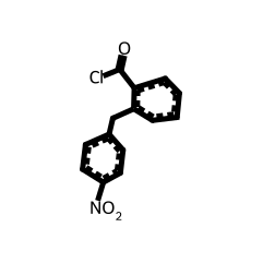 O=C(Cl)c1ccccc1Cc1ccc([N+](=O)[O-])cc1